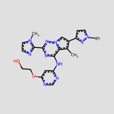 Cc1c(-c2ccn(C(C)C)n2)cn2nc(-c3nccn3C)nc(Nc3cc(OCCO)ncn3)c12